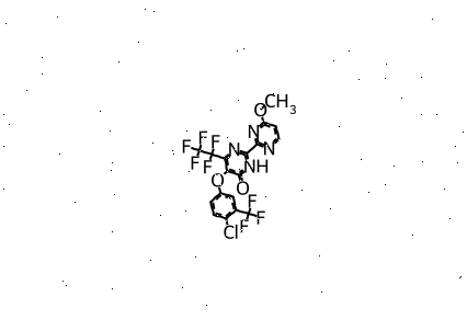 COc1ccnc(-c2nc(C(F)(F)C(F)(F)F)c(Oc3ccc(Cl)c(C(F)(F)F)c3)c(=O)[nH]2)n1